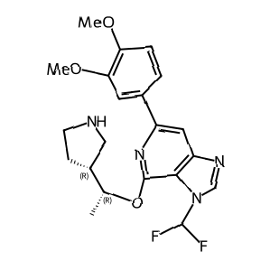 COc1ccc(-c2cc3ncn(C(F)F)c3c(O[C@H](C)[C@@H]3CCNC3)n2)cc1OC